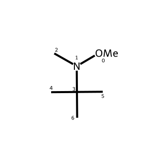 CON(C)C(C)(C)C